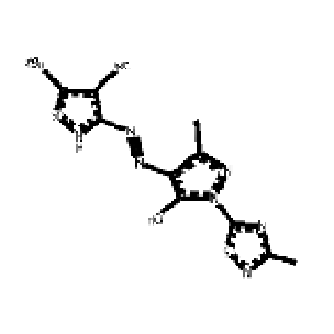 [C-]#[N+]c1c(C(C)(C)C)n[nH]c1/N=N/c1c(C)nn(-c2nc(C)ns2)c1O